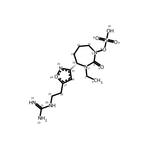 CCN1C(=O)N(OS(=O)(=O)O)CCC[C@H]1c1cc(CCNC(=N)N)on1